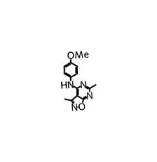 COc1ccc(Nc2nc(C)nc3onc(C)c23)cc1